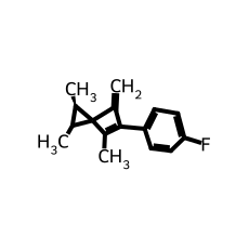 C=C1C(c2ccc(F)cc2)=C(C)C12C(C)[C@H]2C